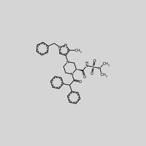 Cc1nn(Cc2ccccc2)cc1N1CCN(C(=O)C(c2ccccc2)c2ccccc2)[C@H](C(=O)NS(=O)(=O)N(C)C)C1